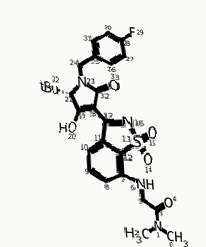 CN(C)C(=O)CNc1cccc2c1S(=O)(=O)N=C2C1=C(O)[C@H](C(C)(C)C)N(Cc2ccc(F)cc2)C1=O